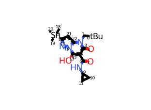 CC(C)(C)Cn1c(=O)c(C(=O)NC2CC2)c(O)n2n[c]([Sn]([CH3])([CH3])[CH3])cc12